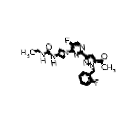 CCNC(=O)NC1CN(c2nc(-c3cc(C(C)=O)n(Cc4ccccc4F)n3)ncc2F)C1